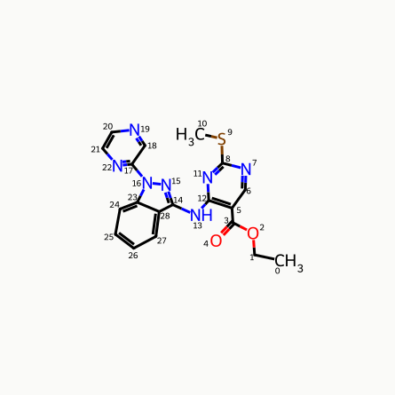 CCOC(=O)c1cnc(SC)nc1Nc1nn(-c2cnccn2)c2ccccc12